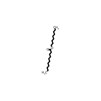 CCCCCCC[CH]COC(=O)CCCCCCCCCC